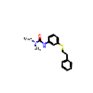 CON(C)C(=O)Nc1cccc(SCCc2ccccc2)c1